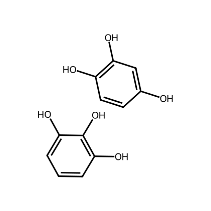 Oc1ccc(O)c(O)c1.Oc1cccc(O)c1O